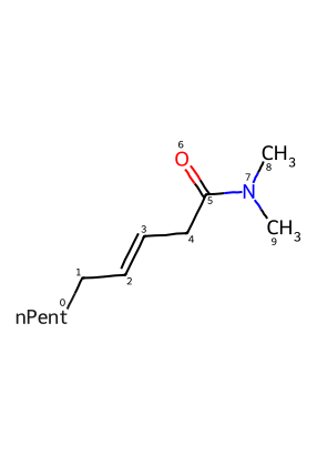 CCCCCCC=CCC(=O)N(C)C